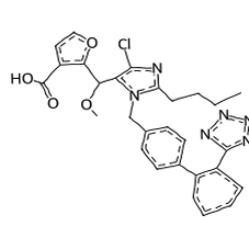 CCCCc1nc(Cl)c(C(OC)c2occc2C(=O)O)n1Cc1ccc(-c2ccccc2-c2nnn[nH]2)cc1